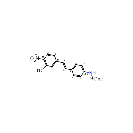 CCCCCCCCCCNc1ccc(C=Cc2ccc([N+](=O)[O-])c(C#N)c2)cc1